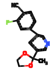 CC1(c2cncc(-c3ccc(C#N)c(F)c3)c2)OCCO1